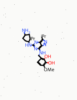 COc1ccc(CNc2nc(NC3CCC(N)CC3)n(C(C)C)c3c(C(C)C)nnc2-3)c(O)c1O